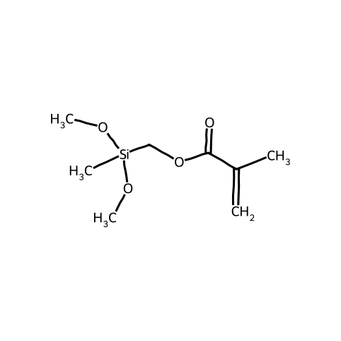 C=C(C)C(=O)OC[Si](C)(OC)OC